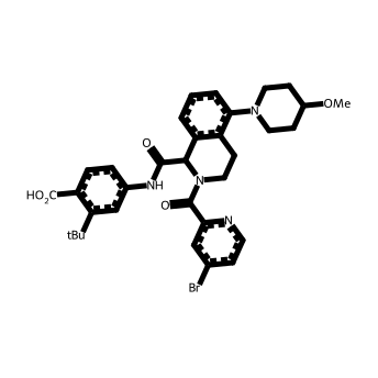 COC1CCN(c2cccc3c2CCN(C(=O)c2cc(Br)ccn2)C3C(=O)Nc2ccc(C(=O)O)c(C(C)(C)C)c2)CC1